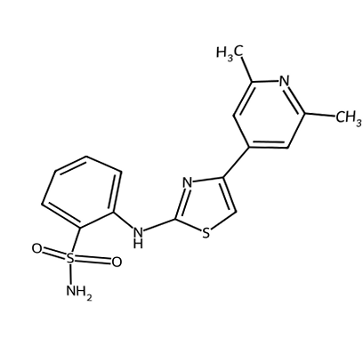 Cc1cc(-c2csc(Nc3ccccc3S(N)(=O)=O)n2)cc(C)n1